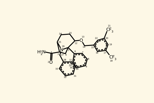 NC(=O)C1CC2(c3ccccc3)C(OCc3cc(C(F)(F)F)cc(C(F)(F)F)c3)CCC1N2Cc1ccccc1